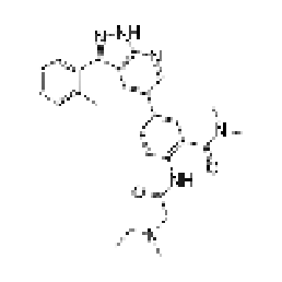 CCN(C)CC(=O)Nc1ccc(-c2cnc3[nH]nc(-c4ccccc4C)c3c2)cc1C(=O)N(C)C